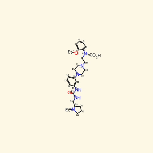 CCOc1ccccc1N(CCN1CCN(c2cccc(NC(=O)NCC3CCCN3CC)c2)CC1)C(=O)O